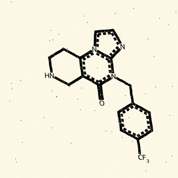 O=c1c2c(n3ccnc3n1Cc1ccc(C(F)(F)F)cc1)CCNC2